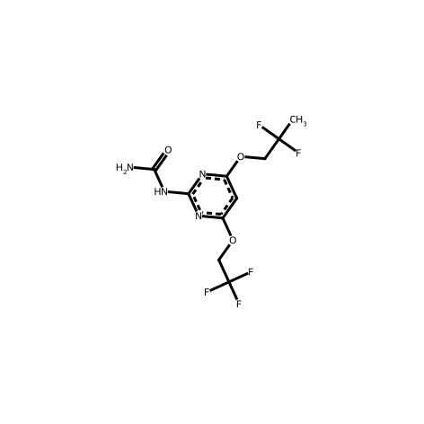 CC(F)(F)COc1cc(OCC(F)(F)F)nc(NC(N)=O)n1